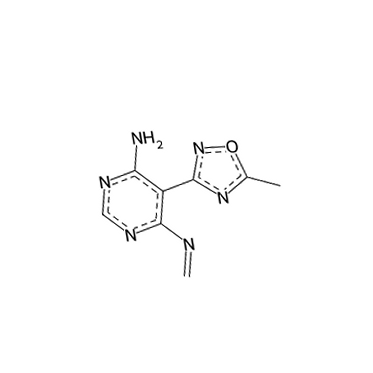 C=Nc1ncnc(N)c1-c1noc(C)n1